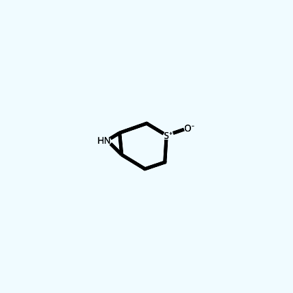 [O-][S+]1CCC2NC2C1